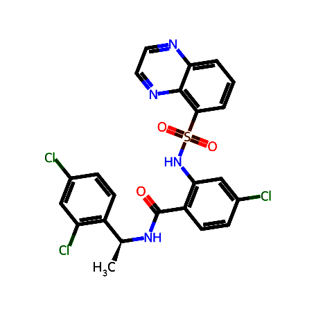 C[C@H](NC(=O)c1ccc(Cl)cc1NS(=O)(=O)c1cccc2nccnc12)c1ccc(Cl)cc1Cl